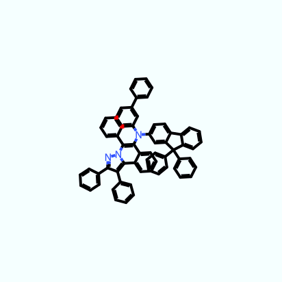 c1ccc(-c2cccc(N(c3ccc4c(c3)C(c3ccccc3)(c3ccccc3)c3ccccc3-4)c3c(-c4ccccc4)n4nc(-c5ccccc5)c(-c5ccccc5)c4c4ccccc34)c2)cc1